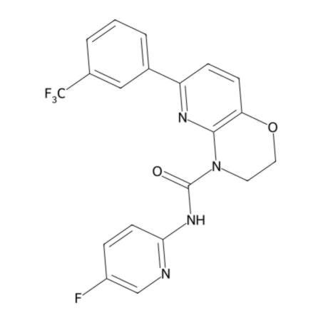 O=C(Nc1ccc(F)cn1)N1CCOc2ccc(-c3cccc(C(F)(F)F)c3)nc21